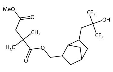 COC(=O)CC(C)(C)C(=O)OCC1CC2CC(CC(O)(C(F)(F)F)C(F)(F)F)C1C2